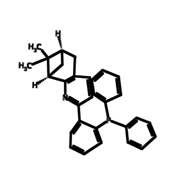 CC1(C)[C@H]2Cc3ccc(-c4ccccc4P(c4ccccc4)c4ccccc4)nc3[C@@H]1C2